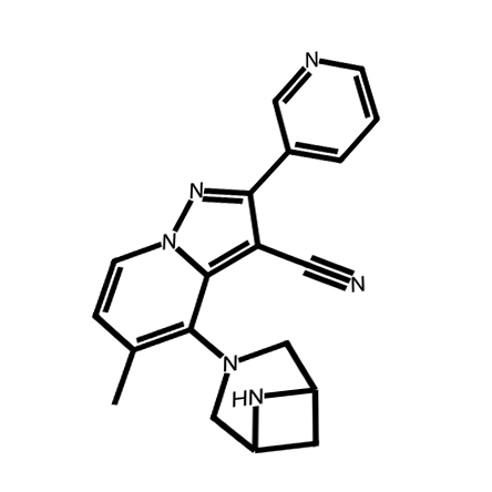 Cc1ccn2nc(-c3cccnc3)c(C#N)c2c1N1CC2CC(C1)N2